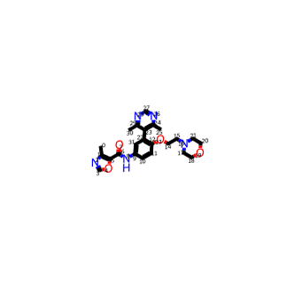 Cc1ncoc1C(=O)Nc1ccc(OCCN2CCOCC2)c(-c2c(C)ncnc2C)c1